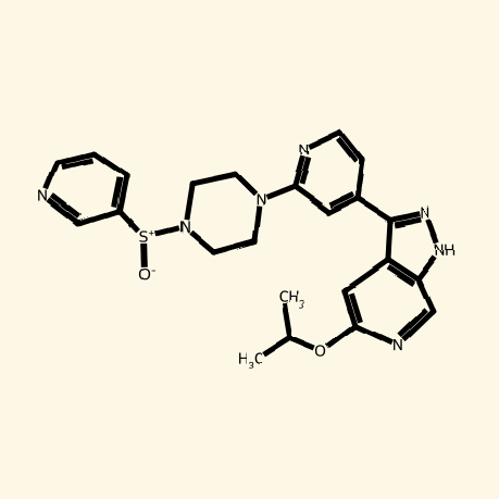 CC(C)Oc1cc2c(-c3ccnc(N4CCN([S+]([O-])c5cccnc5)CC4)c3)n[nH]c2cn1